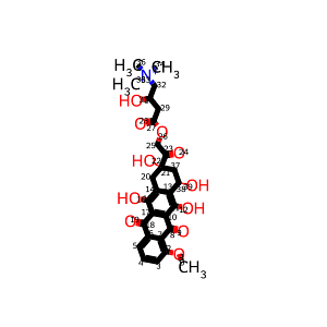 COc1cccc2c1C(=O)c1c(O)c3c(c(O)c1C2=O)C[C@@](O)(C(=O)COC(=O)CC(O)C[N+](C)(C)C)C[C@@H]3O